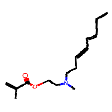 C=C(C)C(=O)OCCN(C)CCC=CC=CCC